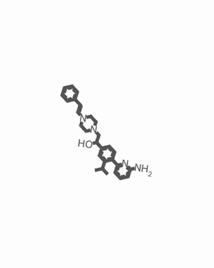 CC(C)c1cc(C(O)CN2CCN(C=Cc3ccccc3)CC2)ccc1-c1cccc(N)n1